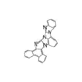 c1ccc2c(c1)nc1n2c2cccc3c2n1c1nc2c4ccccc4c4ccccc4c2n31